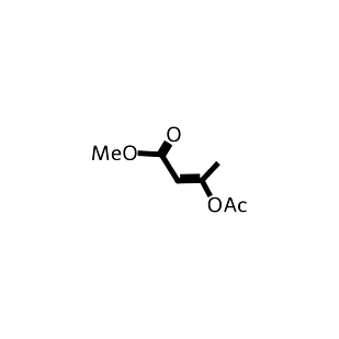 COC(=O)C=C(C)OC(C)=O